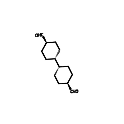 O=C[C@H]1CC[C@H]([C@H]2CC[C@H](C=O)CC2)CC1